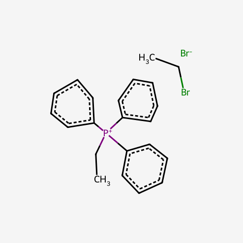 CCBr.CC[P+](c1ccccc1)(c1ccccc1)c1ccccc1.[Br-]